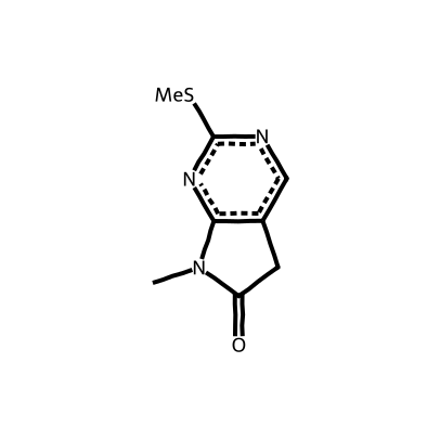 CSc1ncc2c(n1)N(C)C(=O)C2